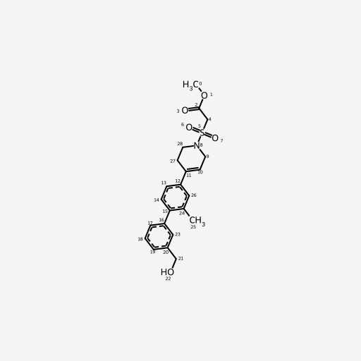 COC(=O)CS(=O)(=O)N1CC=C(c2ccc(-c3cccc(CO)c3)c(C)c2)CC1